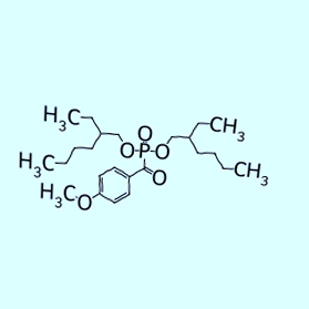 CCCCC(CC)COP(=O)(OCC(CC)CCCC)C(=O)c1ccc(OC)cc1